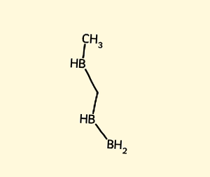 BBCBC